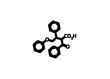 O=C(O)C(C(=O)c1ccccc1)C(COc1ccccc1)c1ccccc1